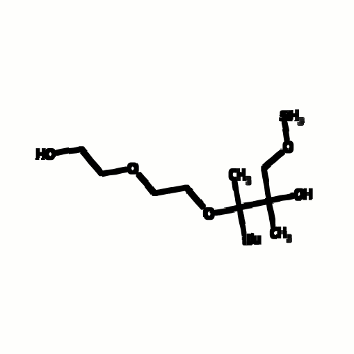 CC(C)(C)C(C)(OCCOCCO)C(C)(O)CO[SiH3]